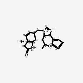 CC(O)CC1C(c2ccccc2)N=CN1CC1C=C[C@@H]2CC(=O)NC2C1